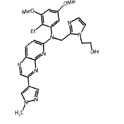 CCc1c(OC)cc(OC)cc1N(Cc1nccn1CCO)c1ccc2ncc(-c3cnn(C)c3)nc2n1